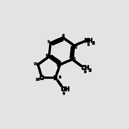 Cc1c(N)ccc2c1B(O)OC2